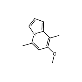 COc1cc(C)n2cccc2c1C